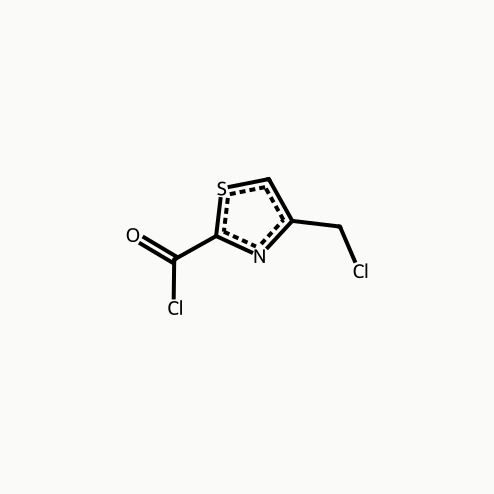 O=C(Cl)c1nc(CCl)cs1